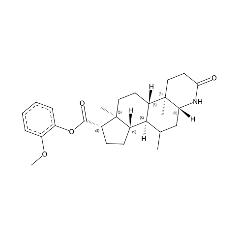 COc1ccccc1OC(=O)[C@H]1CC[C@H]2[C@@H]3C(C)C[C@H]4NC(=O)CC[C@]4(C)[C@H]3CC[C@]12C